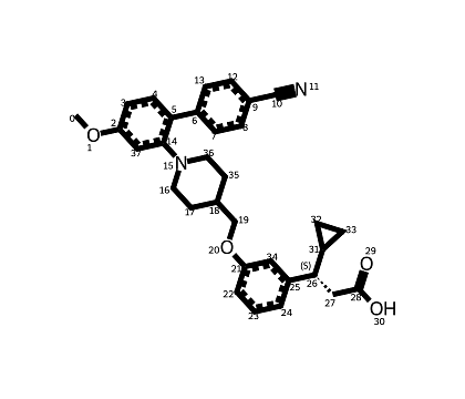 COc1ccc(-c2ccc(C#N)cc2)c(N2CCC(COc3cccc([C@@H](CC(=O)O)C4CC4)c3)CC2)c1